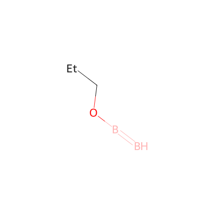 B=BOCCC